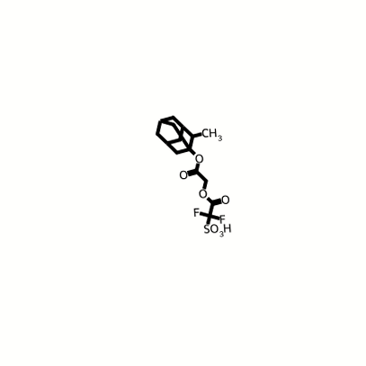 CC1C2CC3CC(C2)CC1(OC(=O)COC(=O)C(F)(F)S(=O)(=O)O)C3